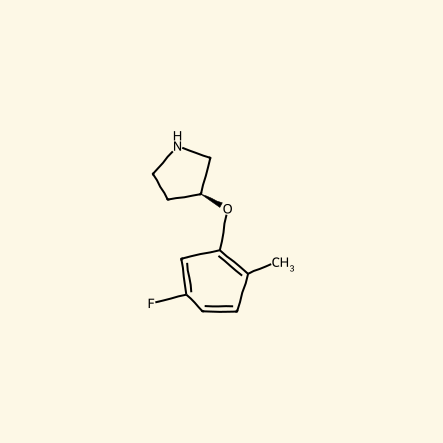 Cc1ccc(F)cc1O[C@H]1CCNC1